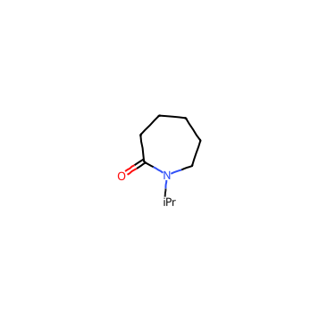 CC(C)N1CCCCCC1=O